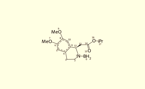 BN1CCc2cc(OC)c(OC)cc2[C@H]1CC(=O)OC(C)C